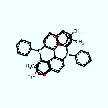 CC1(C)Oc2ccc(P(c3ccccc3)c3ccccc3)c(-c3c(P(c4ccccc4)c4ccccc4)ccc4c3OC(C)(C)O4)c2O1